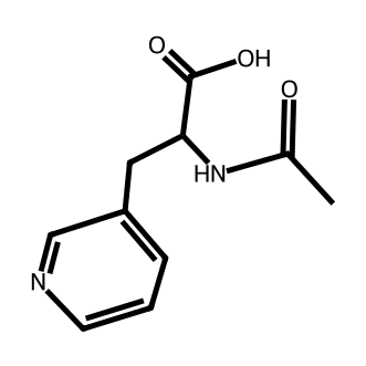 CC(=O)NC(Cc1cccnc1)C(=O)O